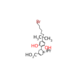 CC(C)[C@@H]1CC=C(C(=O)O)CC1c1c(O)cc(C(C)(C)CCCCCCBr)cc1O